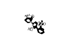 CS(=O)(=O)c1ccccc1-c1ccc(N2CC[C@H](N)C2=O)nc1.Cl